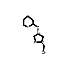 OC[C@@H]1C[C@H](OC2CCCCO2)CN1